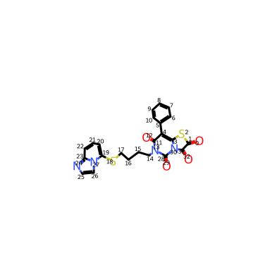 O=C1Sc2c(-c3ccccc3)c(=O)n(CCCCSc3cccc4nccn34)c(=O)n2C1=O